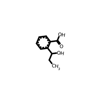 CCC(O)c1ccccc1C(=O)O